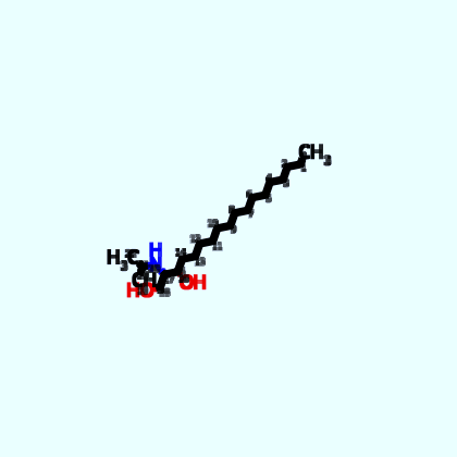 CCCCCCCCCCCCCCC[C@@H](O)C(CO)NC(C)C